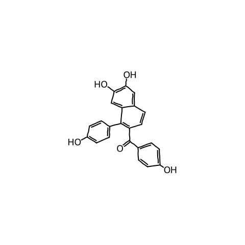 O=C(c1ccc(O)cc1)c1ccc2cc(O)c(O)cc2c1-c1ccc(O)cc1